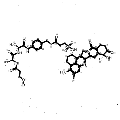 CCOCCC(=O)N[C@H](C(=O)N[C@@H](C)C(=O)Nc1ccc(CNC(=O)CCS(=O)(=O)N[C@H]2CCc3c(C)c(F)cc4nc5c(c2c34)Cn2c-5cc3c(c2=O)CCC(=O)[C@]3(O)CC)cc1)C(C)C